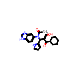 CC(=O)N(c1ccc2[nH]cnc2c1)C(/C(=C/O)C(=O)C1CCCCC1)c1ccc[nH]1